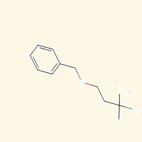 CC(Br)(CCOCc1ccccc1)C(=O)O